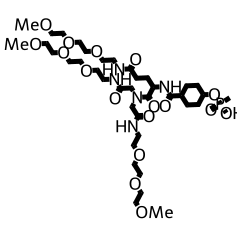 COCCOCCOCCNC(=O)CCC(NC(=O)C1CCC(OP(C)(=O)O)CC1)C(=O)N(CC(=O)NCCOCCOCCOC)CC(=O)NCCOCCOCCOC